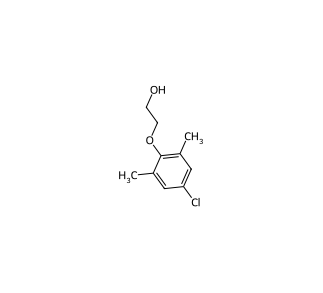 Cc1cc(Cl)cc(C)c1OCCO